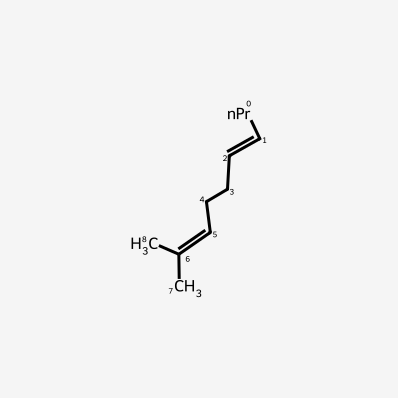 CCCC=CCCC=C(C)C